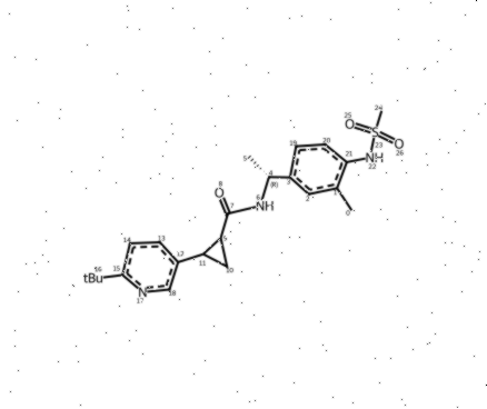 Cc1cc([C@@H](C)NC(=O)C2CC2c2ccc(C(C)(C)C)nc2)ccc1NS(C)(=O)=O